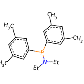 CCN(CC)P(c1cc(C)cc(C)c1)c1cc(C)cc(C)c1